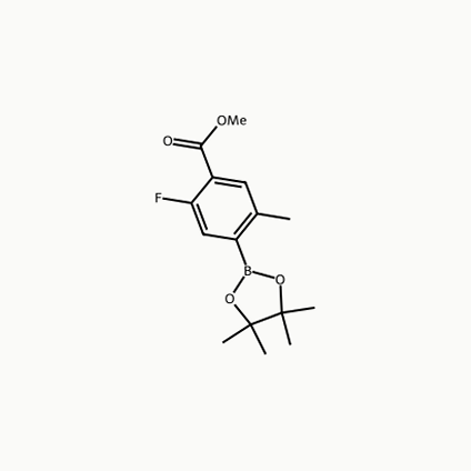 COC(=O)c1cc(C)c(B2OC(C)(C)C(C)(C)O2)cc1F